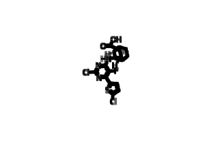 O=C(O)[C@H]1C2CCC(CC2)[C@@H]1Nc1nc(Cl)nc(-c2ccc(Cl)s2)c1F